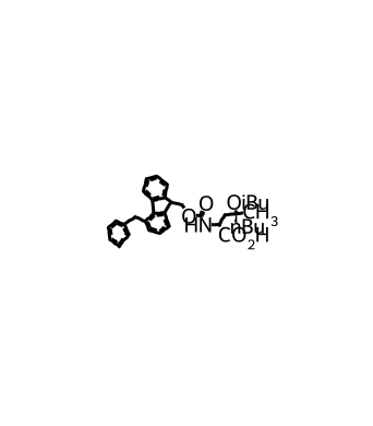 CCCC[C@@](C)(CC(NC(=O)OCC1c2ccccc2-c2c(Cc3ccccc3)cccc21)C(=O)O)OCC(C)C